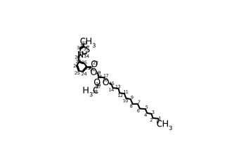 CCCCCCCCCCCCCCCCOCC(COC(=O)c1cccc(CN2C=C(C)SC2)c1)OCC